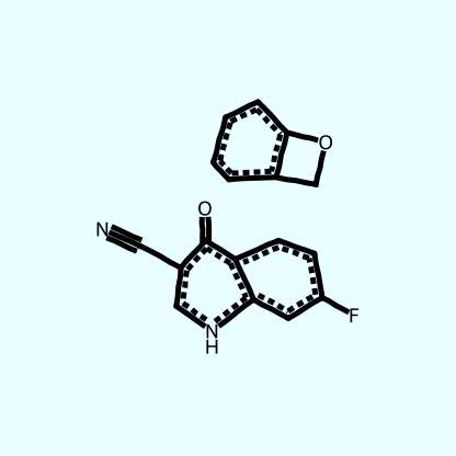 N#Cc1c[nH]c2cc(F)ccc2c1=O.c1ccc2c(c1)CO2